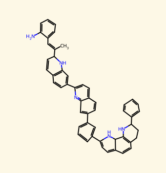 C/C(=C\c1ccccc1N)C1C=Cc2ccc(-c3ccc4ccc(-c5cccc(C6=CC=C7C=CC8=C(NC(c9ccccc9)CC8)C7N6)c5)cc4n3)cc2N1